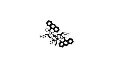 CCn1c(=O)n(CC(CO)OC(=O)c2c3ccccc3cc3ccccc23)c(=O)n(CC(CO)OC(=O)c2c3ccccc3cc3ccccc23)c1=O